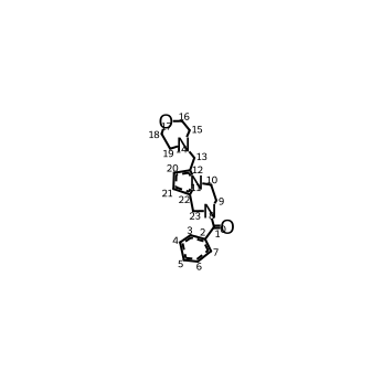 O=C(c1ccccc1)N1CCn2c(CN3CCOCC3)ccc2C1